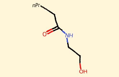 CCCCC(=O)NCCO